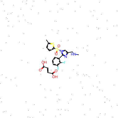 CNCc1cn(S(=O)(=O)c2ccc(C)s2)c(-c2cccc(F)c2F)n1.O=C(O)/C=C/C(=O)O